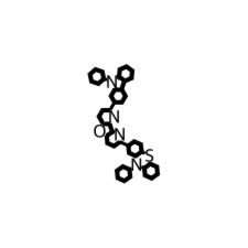 c1ccc(N2c3ccccc3Sc3ccc(-c4ccc5oc6ccc(-c7ccc8c9ccccc9n(-c9ccccc9)c8c7)nc6c5n4)cc32)cc1